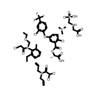 C=CCN(CC=C)C(=O)C(Cl)Cl.CCOCN(C(=O)CCl)c1c(C)cccc1CC.C[C@H](OC(=O)c1cc(Oc2ccc(C(F)(F)F)cc2Cl)ccc1Cl)C(=O)O.C[S+](C)C.O=C(O)CNCP(=O)([O-])O